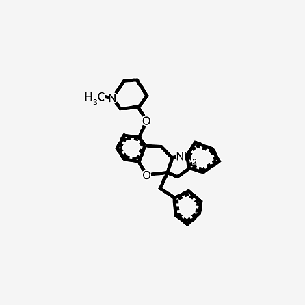 CN1CCCC(Oc2cccc3c2CC(N)C(Cc2ccccc2)(Cc2ccccc2)O3)C1